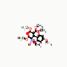 COC(=O)C(C(=O)OC)[C@H](c1c(OC)cc(OC)cc1OC)C(C(=O)OC)[N+](=O)[O-]